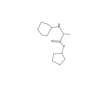 CC(NC1CCCCC1)C(=O)OC1CCCC1